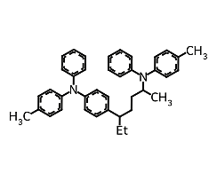 CCC(CCC(C)N(c1ccccc1)c1ccc(C)cc1)c1ccc(N(c2ccccc2)c2ccc(C)cc2)cc1